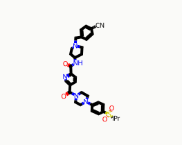 CC(C)S(=O)(=O)c1ccc(N2CCN(C(=O)c3ccc(C(=O)NC4CCN(Cc5ccc(C#N)cc5)CC4)nc3)CC2)cc1